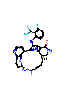 C[C@H]1/C=C\C[C@@H]2CNC(=O)c3c2[nH]c(c3Nc2cccc(F)c2C(F)F)-c2ccnc3ccc(nc23)N1